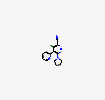 N#Cc1nnc(N2CCCC2)c(-c2ccccn2)c1F